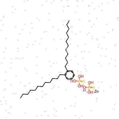 CCCCCCCCCCCCc1ccccc1CCCCCCCCCCCC.OP(O)(O)=S.OP(O)(O)=S.[Zn]